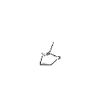 CS1=NC=CO1